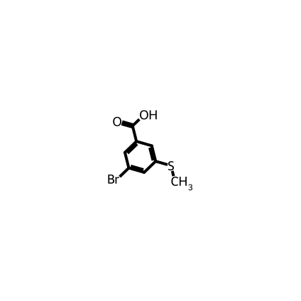 CSc1cc(Br)cc(C(=O)O)c1